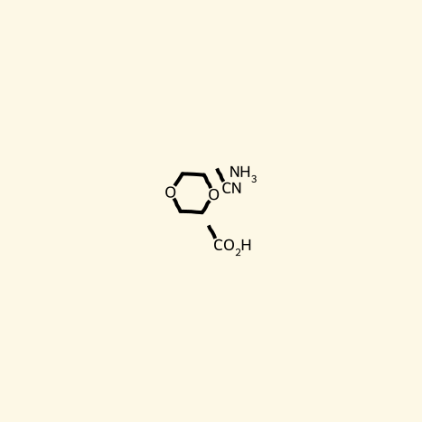 C1COCCO1.CC#N.CC(=O)O.N